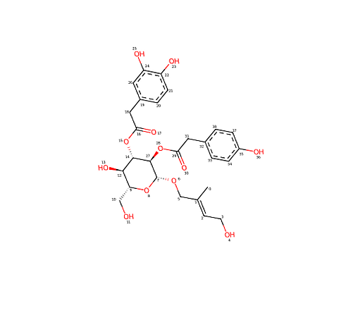 C/C(=C\CO)CO[C@@H]1O[C@H](CO)[C@@H](O)[C@H](OC(=O)Cc2ccc(O)c(O)c2)[C@H]1OC(=O)Cc1ccc(O)cc1